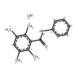 Cc1cc(C)c(C)c(C(=O)Pc2ccccc2)c1C.[LiH]